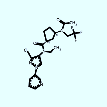 CCN(C(=O)[C@H]1CC[C@@H](N(CC(F)(F)F)C(C)=O)C1)c1cn(-c2cccnc2)nc1Cl